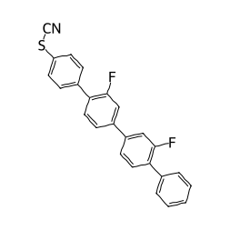 N#CSc1ccc(-c2ccc(-c3ccc(-c4ccccc4)c(F)c3)cc2F)cc1